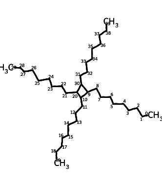 CCCCCCCCCC1C(CCCCCCCCC)C(CCCCCCCCC)C1CCCCCCCCC